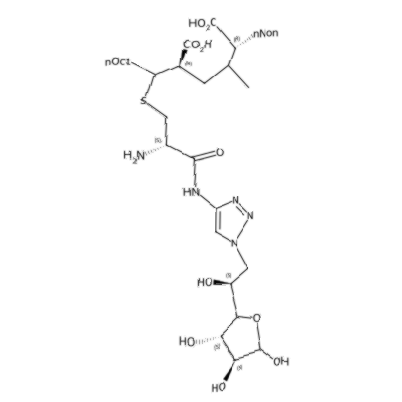 CCCCCCCCC[C@@H](C(=O)O)C(C)C[C@H](C(=O)O)C(CCCCCCCC)SC[C@@H](N)C(=O)Nc1cn(C[C@H](O)C2OC(O)[C@@H](O)[C@@H]2O)nn1